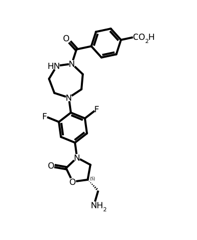 NC[C@H]1CN(c2cc(F)c(N3CCNN(C(=O)c4ccc(C(=O)O)cc4)CC3)c(F)c2)C(=O)O1